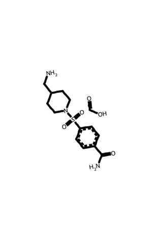 NCC1CCN(S(=O)(=O)c2ccc(C(N)=O)cc2)CC1.O=CO